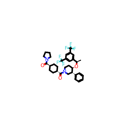 C[C@@H](O[C@H]1CCN(C(=O)[C@H]2CC[C@H](C(=O)N3CCCC3)CC2)C[C@H]1c1ccccc1)c1cc(C(F)(F)F)cc(C(F)(F)F)c1